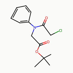 CC(C)(C)OC(=O)CN(C(=O)CCl)c1ccccc1